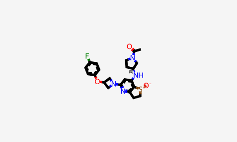 CC(=O)N1CC[C@H](Nc2cc(N3CC(Oc4ccc(F)cc4)C3)nc3c2[S+]([O-])CC3)C1